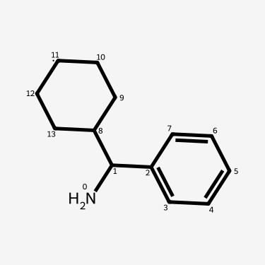 NC(c1ccccc1)C1CC[CH]CC1